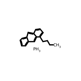 CCCCc1cccc2cc3ccccc3cc12.P